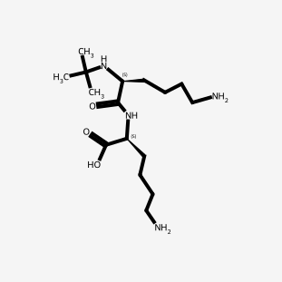 CC(C)(C)N[C@@H](CCCCN)C(=O)N[C@@H](CCCCN)C(=O)O